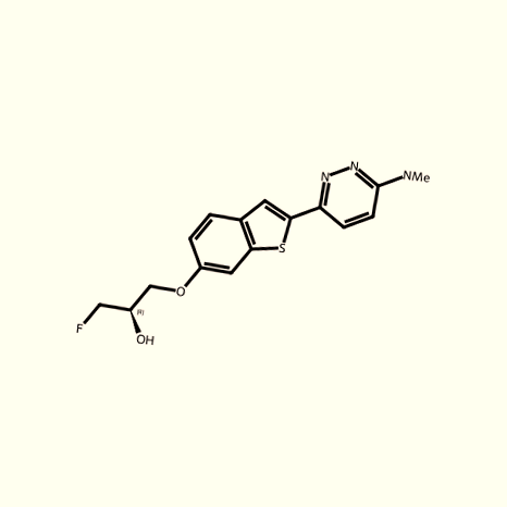 CNc1ccc(-c2cc3ccc(OC[C@@H](O)CF)cc3s2)nn1